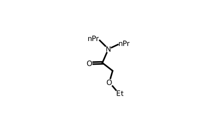 [CH2]COCC(=O)N(CCC)CCC